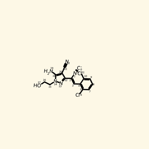 [C-]#[N+]C(=Cc1c(Cl)cccc1Cl)c1nn(CCO)c(N)c1C#N